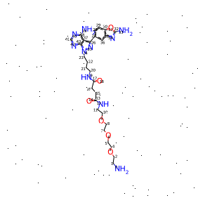 NCCOCCOCCOCCNC(=O)CCC(=O)NCCCCn1nc(-c2ccc3oc(N)nc3c2)c2c(N)ncnc21